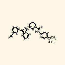 CN(C)c1ccc(NC(=O)N2CCC[C@@H](c3nc(-c4cccc(C#N)c4)c4ccccn34)C2)cc1